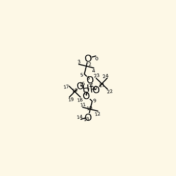 COC(C)(C)C[O][Hf]([O]CC(C)(C)OC)([O]C(C)(C)C)[O]C(C)(C)C